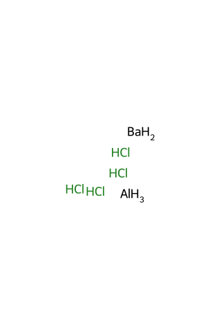 Cl.Cl.Cl.Cl.[AlH3].[BaH2]